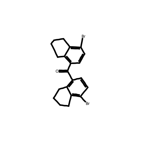 O=C(c1ccc(Br)c2c1CCCC2)c1ccc(Br)c2c1CCCC2